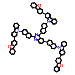 c1ccc2c(c1)oc1cc(-c3ccc4c5ccccc5n(-c5ccc6cc(-c7ccc8nc(-c9ccc%10cc(-n%11c%12ccccc%12c%12ccc(-c%13ccc%14c(c%13)oc%13ccccc%13%14)cc%12%11)ccc%10c9)nc(-c9ccc%10cc(-n%11c%12ccccc%12c%12ccc(-c%13ccc%14c(c%13)oc%13ccccc%13%14)cc%12%11)ccc%10c9)c8c7)ccc6c5)c4c3)ccc12